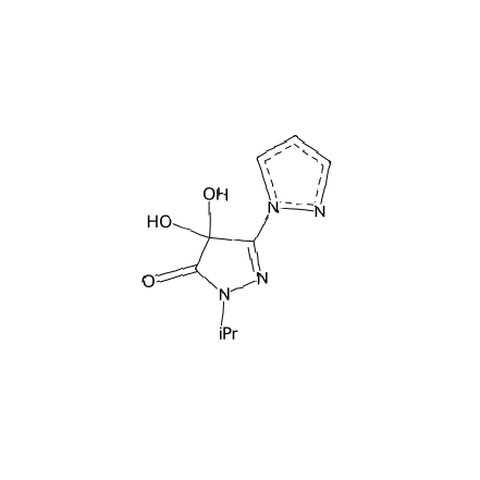 CC(C)N1N=C(n2cccn2)C(O)(O)C1=O